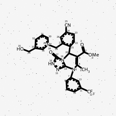 COC(=O)C1=C(C)N(c2cccc(C(F)(F)F)c2)c2n[nH]c(=O)n2C1c1ccc(C#N)cc1C[n+]1cccc(CO)c1